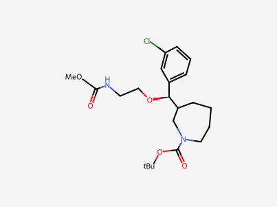 COC(=O)NCCO[C@@H](c1cccc(Cl)c1)C1CCCCN(C(=O)OC(C)(C)C)C1